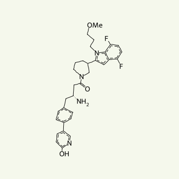 COCCCn1c(C2CCCN(C(=O)C[C@H](N)Cc3ccc(-c4ccc(O)nc4)cc3)C2)cc2c(F)ccc(F)c21